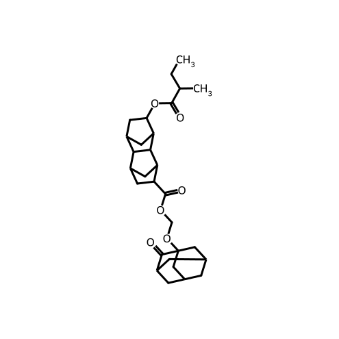 CCC(C)C(=O)OC1CC2CC1C1C3CC(CC3C(=O)OCOC34CC5CC(CC(C5)C3=O)C4)C21